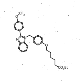 CCOC(=O)CCCCCOc1ccc(Cn2c(-c3ccc(OC(F)(F)F)cc3)nc3ccccc32)cc1